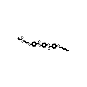 C=CC(=O)OCCCOc1ccc(C(=O)Oc2ccc(OC(=O)c3ccc(OCCCCCC)cc3)cc2)cc1